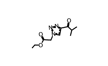 CCOC(=O)Cn1cc(C(=O)C(C)C)nn1